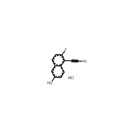 Cl.[2H]C#Cc1c(F)ccc2cc(O)ccc12